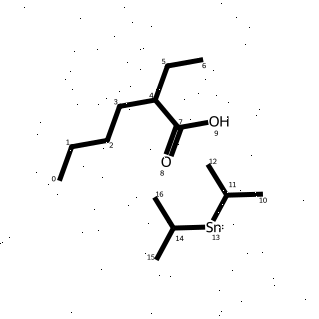 CCCCC(CC)C(=O)O.C[CH](C)[Sn][CH](C)C